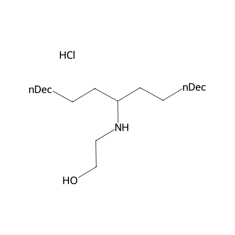 CCCCCCCCCCCCC(CCCCCCCCCCCC)NCCO.Cl